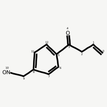 C=CCC(=O)c1ccc(CN=O)cc1